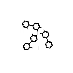 Cc1ccccc1-c1ccc2c(c1)Oc1c(-c3ccccc3C)ccc3c1B2c1cc(-c2ccccc2)ccc1O3